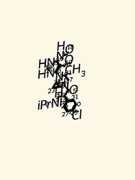 CC(C)NC[C@@H](C(=O)N1CCN(C2=C3C(NCN2)NC(=O)OC3C)[C@H]2C[C@H]21)c1ccc(Cl)cc1